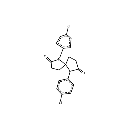 O=C1CCC2(CCC(=O)N2c2ccc(Cl)cc2)N1c1ccc(Cl)cc1